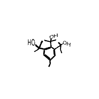 Cc1cc(C(C)(C)O)c(C(C)(C)O)c(C(C)(C)O)c1